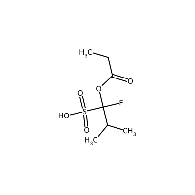 CCC(=O)OC(F)(C(C)C)S(=O)(=O)O